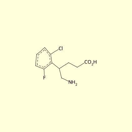 NCC(CCC(=O)O)c1c(F)cccc1Cl